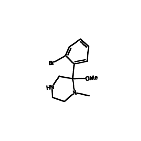 COC1(c2ccccc2Br)CNCCN1C